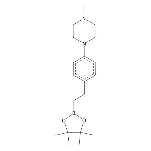 CN1CCN(c2ccc(CCB3OC(C)(C)C(C)(C)O3)cc2)CC1